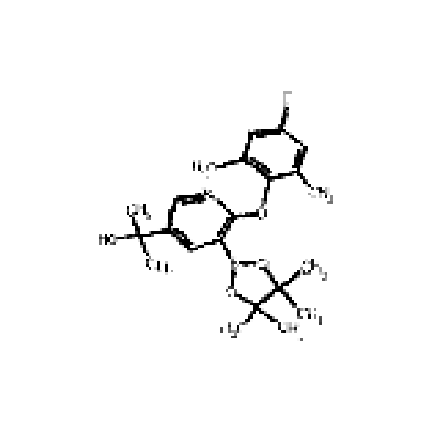 Cc1cc(F)cc(C)c1Oc1ncc(C(C)(C)O)cc1B1OC(C)(C)C(C)(C)O1